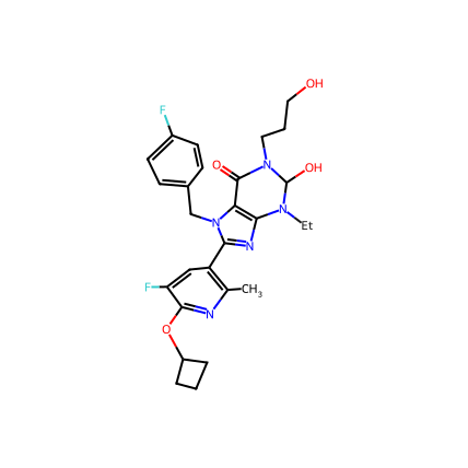 CCN1c2nc(-c3cc(F)c(OC4CCC4)nc3C)n(Cc3ccc(F)cc3)c2C(=O)N(CCCO)C1O